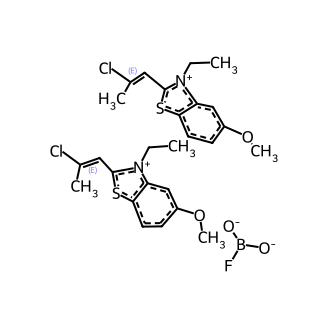 CC[n+]1c(/C=C(\C)Cl)sc2ccc(OC)cc21.CC[n+]1c(/C=C(\C)Cl)sc2ccc(OC)cc21.[O-]B([O-])F